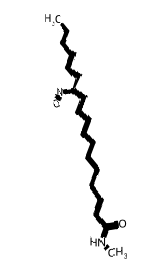 CCCCCC[C@@H](CCCCCCCCCCC(=O)NC)N=O